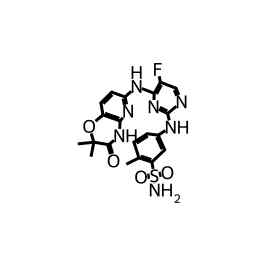 Cc1ccc(Nc2ncc(F)c(Nc3ccc4c(n3)NC(=O)C(C)(C)O4)n2)cc1S(N)(=O)=O